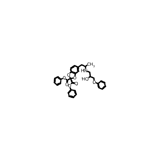 CC(Cc1ccc2c(c1)OC(C(=O)Oc1ccccc1)(C(=O)Oc1ccccc1)O2)NCC(O)COc1ccccc1